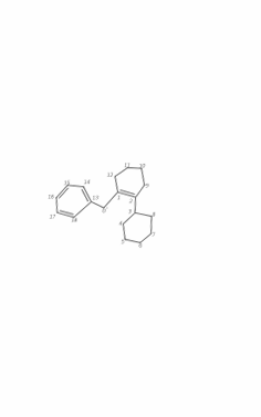 [CH](C1=C(C2CCCCC2)CCCC1)c1ccccc1